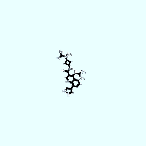 CC(C)Nc1c(C(=O)NC2CC(N(C)C(=O)O)C2)cnc2c(-c3cn[nH]c3)cccc12